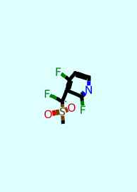 CS(=O)(=O)[C](F)c1c(F)ccnc1F